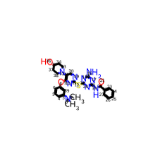 CN(C)c1cccc(Oc2nc(Sc3nc(N)nc(NC(=O)c4ccccc4)n3)ncc2N2CCC(O)CC2)c1